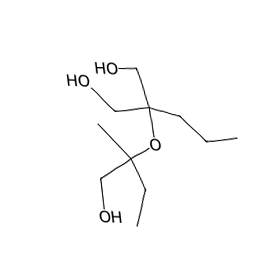 CCCC(CO)(CO)OC(C)(CC)CO